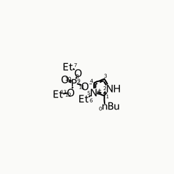 CCCCc1[nH]cc[n+]1CC.CCOP(=O)([O-])OCC